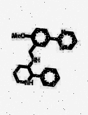 COc1ccc(-c2ncccn2)cc1CNC1CCCNC1c1ccccc1